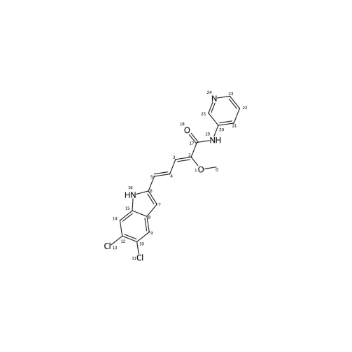 CO/C(=C\C=C\c1cc2cc(Cl)c(Cl)cc2[nH]1)C(=O)Nc1cccnc1